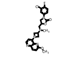 COc1ccc2nccc(N3CC(N(C)CC4CN(c5ccc(F)c(Cl)c5)C(=O)O4)C3)c2n1